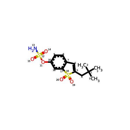 CC(C)(C)CC1=Cc2ccc(OS(N)(=O)=O)cc2S1(=O)=O